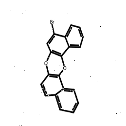 Brc1cc2c(c3ccccc13)Oc1c(ccc3ccccc13)O2